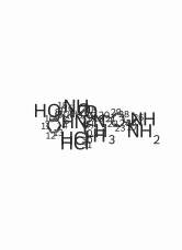 C[C@H](NC(=O)[C@H]1C[C@](O)(c2ccccc2)CN1)C(=O)NCc1ccc(C(=N)N)cc1.Cl.Cl